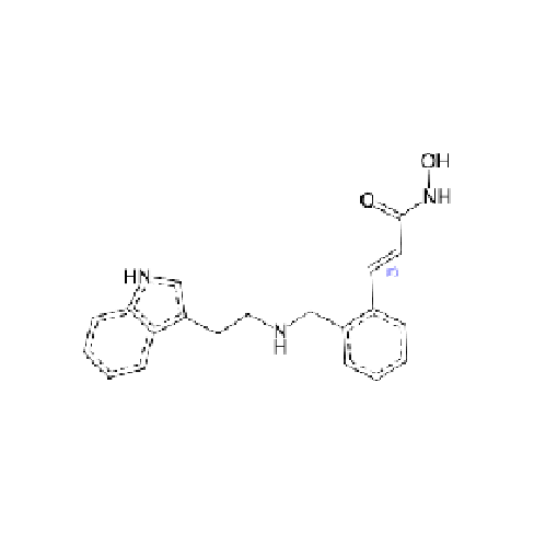 O=C(/C=C/c1ccccc1CNCCc1c[nH]c2ccccc12)NO